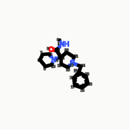 CNC(=O)C1(N2CCCCC2)CCN(Cc2ccccc2)CC1